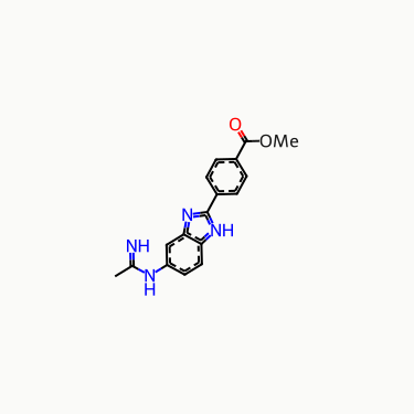 COC(=O)c1ccc(-c2nc3cc(NC(C)=N)ccc3[nH]2)cc1